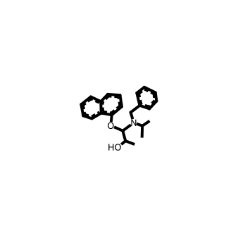 CC(O)C(Oc1cccc2ccccc12)N(Cc1ccccc1)C(C)C